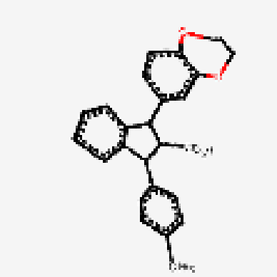 COc1ccc(C2c3ccccc3C(c3ccc4c(c3)OCCO4)C2C(=O)O)cc1